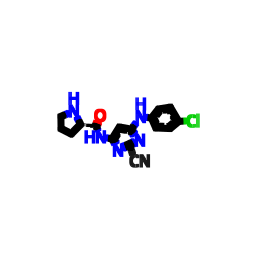 N#Cc1nc(NC(=O)[C@@H]2CCCN2)cc(Nc2ccc(Cl)cc2)n1